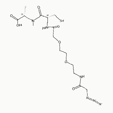 C[C@@H](C(=O)O)N(C)C(=O)[C@H](CS)NC(=O)COCCOCCNC(=O)CN=[N+]=[N-]